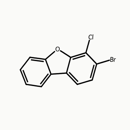 Clc1c(Br)ccc2c1oc1ccccc12